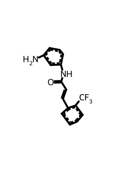 Nc1cccc(NC(=O)C=Cc2ccccc2C(F)(F)F)c1